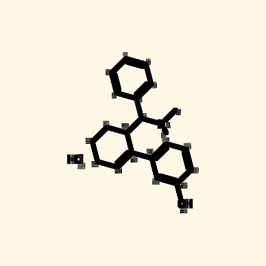 CN(C)C(c1ccccc1)C1CCCC=C1c1cccc(O)c1.Cl